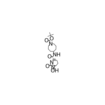 CC(C)(C)OC(=O)N1CCCC(NC(=O)[C@@H]2CCC3CN2C(=O)N3O)CCC1